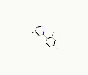 Cc1ccnc(-c2ccc(C)cc2C)c1